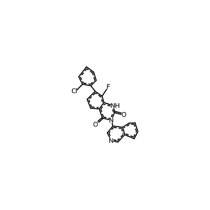 O=c1[nH]c2c(F)c(-c3ccccc3Cl)ccc2c(=O)n1-c1cncc2ccccc12